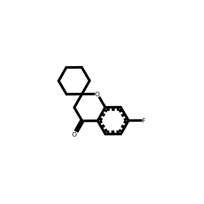 O=C1CC2(CCCCC2)Oc2cc(F)ccc21